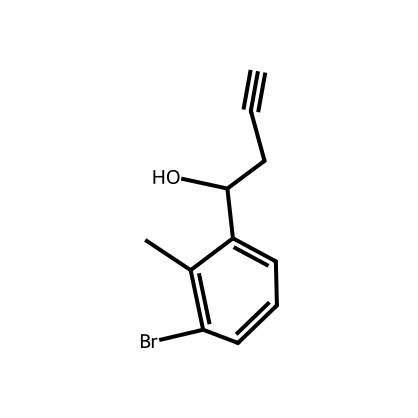 C#CCC(O)c1cccc(Br)c1C